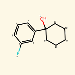 OC1(c2cccc(F)c2)CC[CH]CC1